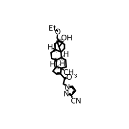 CCOC[C@@]1(O)CCC2(C3CC3)[C@H](CC[C@@H]3[C@@H]2CC[C@]2(C)C(C(=O)Cn4ccc(C#N)n4)=CC[C@@H]32)C1